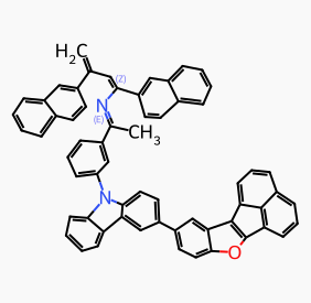 C=C(/C=C(\N=C(/C)c1cccc(-n2c3ccccc3c3cc(-c4ccc5oc6c(c5c4)-c4cccc5cccc-6c45)ccc32)c1)c1ccc2ccccc2c1)c1ccc2ccccc2c1